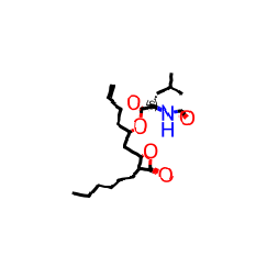 C=CCCC(CC1OC(=O)C1CCCCCC)OC(=O)[C@H](CC(C)C)NC=O